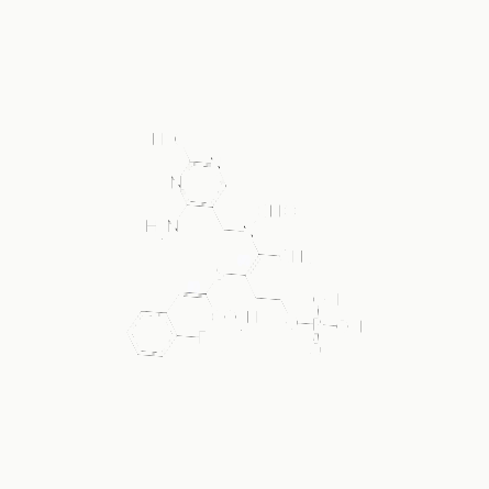 C/C(=C(\CCOP(=O)(O)O)S/C(=C/c1ccccc1F)C(=O)O)N(C=O)Cc1cnc(C)nc1N